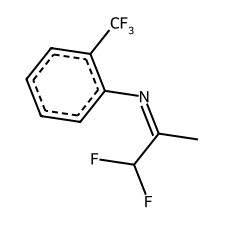 CC(=Nc1ccccc1C(F)(F)F)C(F)F